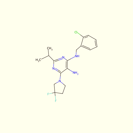 CC(C)c1nc(NCc2ccccc2Cl)c(N)c(N2CCC(F)(F)C2)n1